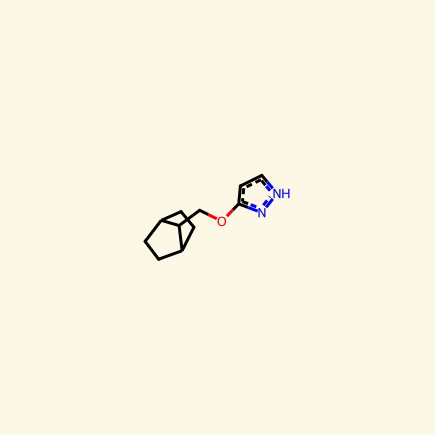 c1cc(OCC2C3CCC2CC3)n[nH]1